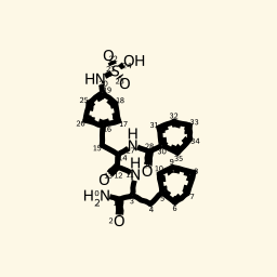 NC(=O)C(Cc1ccccc1)NC(=O)C(Cc1ccc(NS(=O)(=O)O)cc1)NC(=O)c1ccccc1